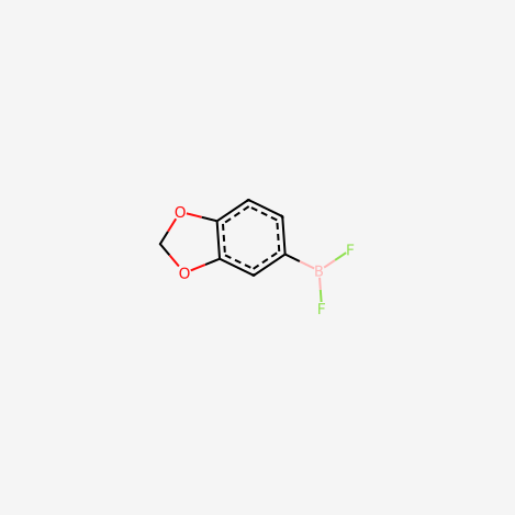 FB(F)c1ccc2c(c1)OCO2